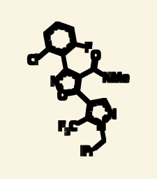 CNC(=O)c1c(-c2c(F)cccc2Cl)noc1-c1cnn(CC(C)C)c1C(F)(F)F